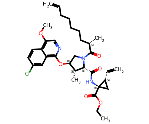 C=CCCCCC[C@H](C)C(=O)N1C[C@H](Oc2ncc(OC)c3ccc(Cl)cc23)[C@@H](C)[C@H]1C(=O)N[C@]1(C(=O)OCC)C[C@H]1C=C